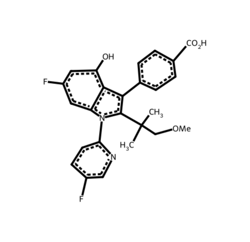 COCC(C)(C)c1c(-c2ccc(C(=O)O)cc2)c2c(O)cc(F)cc2n1-c1ccc(F)cn1